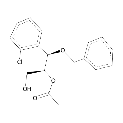 CC(=O)O[C@@H](CO)[C@H](OCc1ccccc1)c1ccccc1Cl